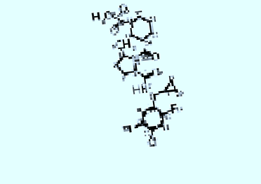 C[C@@H]1CC[C@H](C(=O)N[C@@H](c2cc(F)c(Cl)cc2F)C2CC2)N1C(=O)[C@H]1CCCN(S(C)(=O)=O)C1